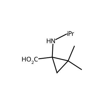 CC(C)NC1(C(=O)O)CC1(C)C